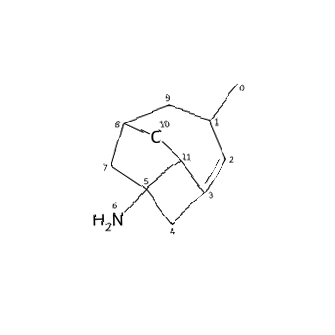 CC1C=C2CC3(N)CC(C1)CC23